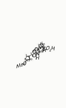 COc1ccc(COC(=O)N[C@H](C(=O)N2CSC[C@H]2C(=O)O)C(C)C)cc1